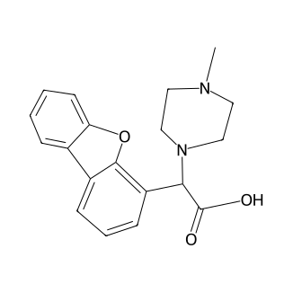 CN1CCN(C(C(=O)O)c2cccc3c2oc2ccccc23)CC1